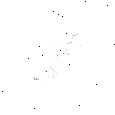 C#CCn1c(C)nn(COC(=O)[C@@H]2[C@@H](/C=C(\C#N)C=C)C2(C)C)c1=O